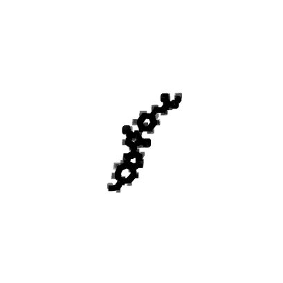 CCN1CCc2ncc(N3CC(=O)N([C@H]4CC[C@H](CCC(=O)OC)CC4)C3=O)nc2CC1